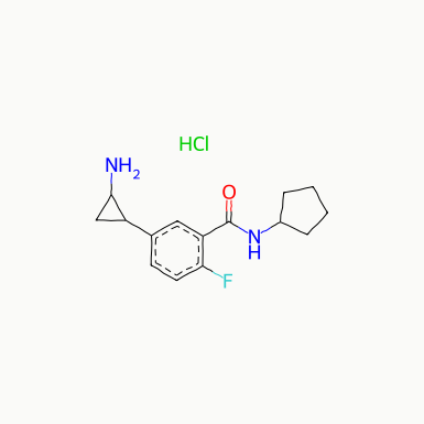 Cl.NC1CC1c1ccc(F)c(C(=O)NC2CCCC2)c1